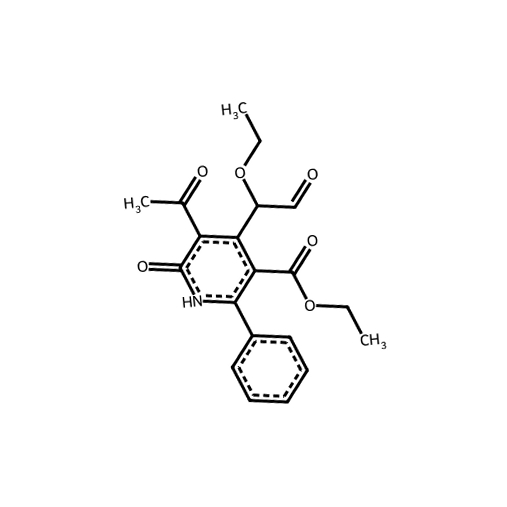 CCOC(=O)c1c(-c2ccccc2)[nH]c(=O)c(C(C)=O)c1C(C=O)OCC